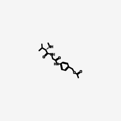 CN[C@H](C(=O)NCC(=O)Nc1ccc(COC(C)=O)cc1)C(C)C